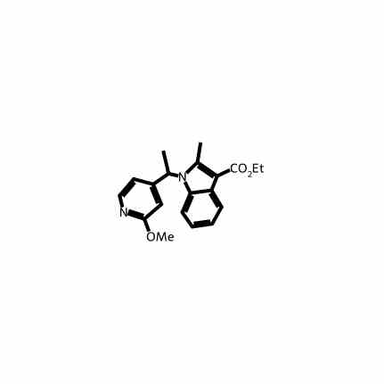 CCOC(=O)c1c(C)n(C(C)c2ccnc(OC)c2)c2ccccc12